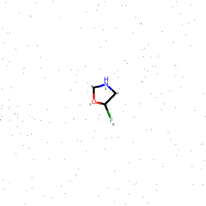 FC1CNCO1